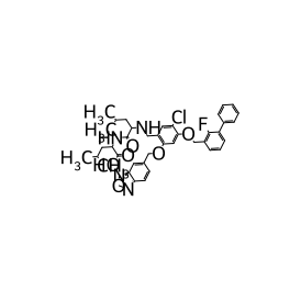 CC(C)CC(NC(=O)C(CC(C)C)NCc1cc(Cl)c(OCc2cccc(-c3ccccc3)c2F)cc1OCc1ccc2nonc2c1)C(=O)O